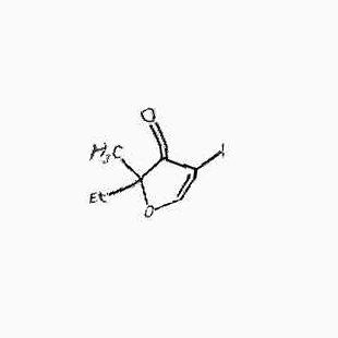 CCC1(C)OC=C(I)C1=O